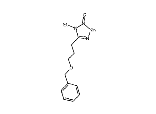 CCn1c(CCCOCc2ccccc2)n[nH]c1=O